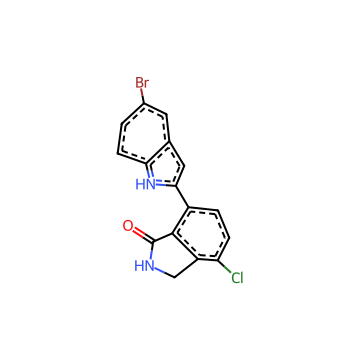 O=C1NCc2c(Cl)ccc(-c3cc4cc(Br)ccc4[nH]3)c21